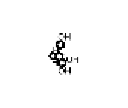 Oc1ccc([C@@H]2Cc3c(O)cc(O)cc3[C@@H]3CCC[C@H]23)cc1